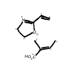 C/C=C(\C)C(=O)O.C=CC1=NCCO1